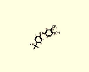 CCC(C)(C)c1ccc(Oc2ccc(O)c(C(F)(F)F)c2)cc1